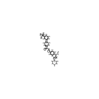 CC/C(=N/OC1CCCCC1)c1ccc(OCC(=O)N2CCN(c3cccc(C(F)(F)F)c3)CC2)cc1